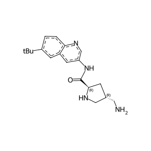 CC(C)(C)c1ccc2ncc(NC(=O)[C@H]3C[C@H](CN)CN3)cc2c1